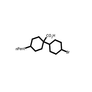 CCCCCC1CCC(C(=O)O)(C2CCC(Br)CC2)CC1